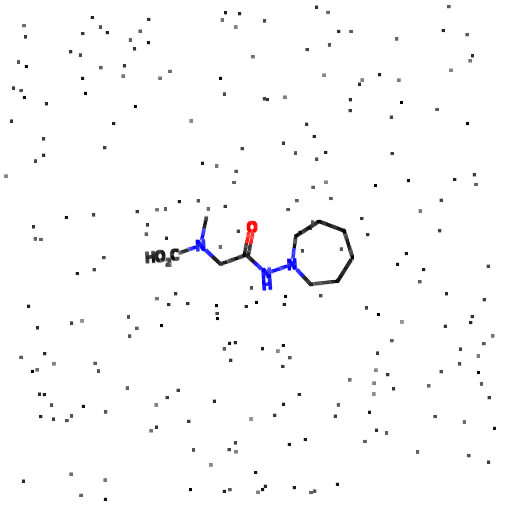 CN(CC(=O)NN1CCCCCC1)C(=O)O